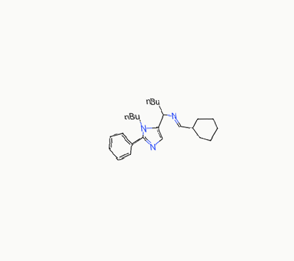 CCCCC(N=CC1CCCCC1)c1cnc(-c2ccccc2)n1CCCC